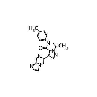 Cc1ccc(N2C[C@H](C)n3ncc(-c4cn5ccnc5cn4)c3C2=O)cc1